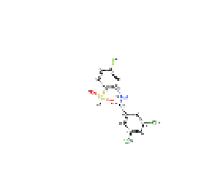 CS(=O)(=O)c1ccc(F)cc1NCc1cc(Cl)cc(Cl)c1